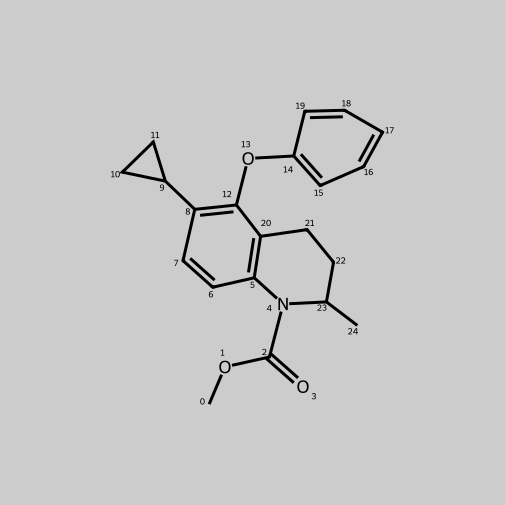 COC(=O)N1c2ccc(C3CC3)c(Oc3ccccc3)c2CCC1C